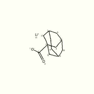 O=C([O-])C12CC3CC(CC(C3)C1)C2.[Li+]